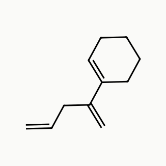 C=CCC(=C)C1=CCCCC1